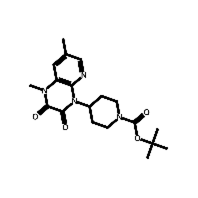 Cc1cnc2c(c1)n(C)c(=O)c(=O)n2C1CCN(C(=O)OC(C)(C)C)CC1